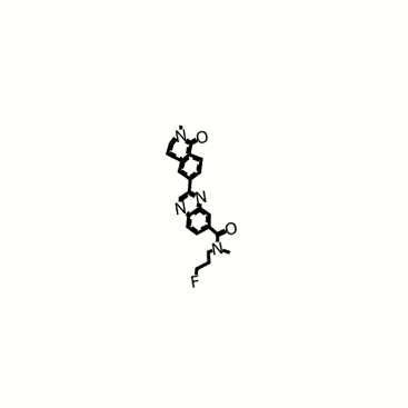 CN(CCCF)C(=O)c1ccc2ncc(-c3ccc4c(=O)n(C)ccc4c3)nc2c1